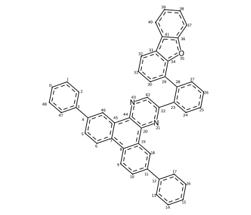 c1ccc(-c2ccc3c4ccc(-c5ccccc5)cc4c4nc(-c5ccccc5-c5cccc6c5oc5ccccc56)cnc4c3c2)cc1